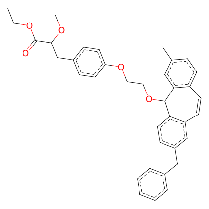 CCOC(=O)C(Cc1ccc(OCCOC2c3ccc(Cc4ccccc4)cc3C=Cc3ccc(C)cc32)cc1)OC